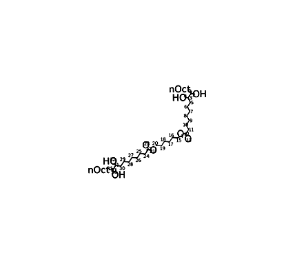 CCCCCCCCC(O)C(O)CCCCCCCC(=O)OCCCCCCOC(=O)CCCCCCCC(O)C(O)CCCCCCCC